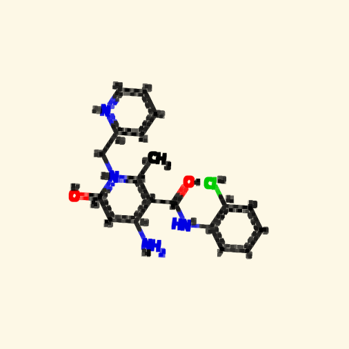 Cc1c(C(=O)Nc2ccccc2Cl)c(N)cc(=O)n1Cc1ccccn1